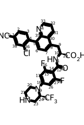 N#Cc1ccc(-c2ccc(C[C@H](NC(=O)c3c(F)cc(N4CCNC[C@@H]4C(F)(F)F)cc3F)C(=O)O)c3cccnc23)c(Cl)c1